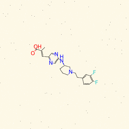 C/C(=C\c1cnc(N[C@@H]2CCCN(CCc3ccc(F)c(F)c3)C2)cn1)C(=O)O